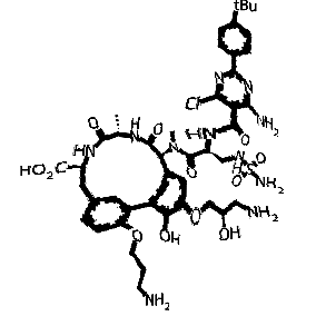 C[C@@H]1NC(=O)[C@@H](N(C)C(=O)[C@H](CNS(N)(=O)=O)NC(=O)c2c(N)nc(-c3ccc(C(C)(C)C)cc3)nc2Cl)c2cc(OC[C@H](O)CN)c(O)c(c2)-c2cc(ccc2OCCCN)C[C@@H](C(=O)O)NC1=O